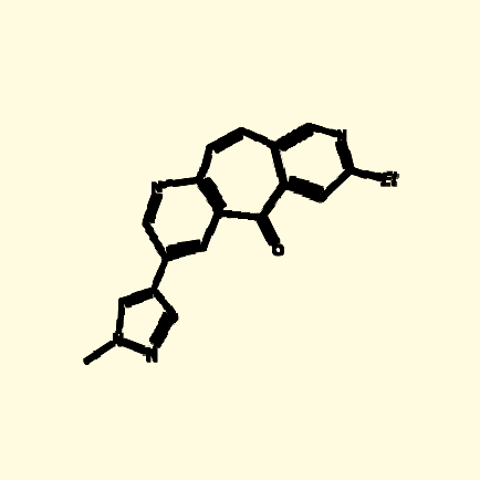 CCc1cc2c(=O)c3cc(-c4cnn(C)c4)cnc3ccc2cn1